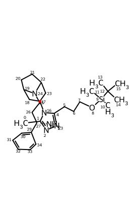 Cc1nnc(CCCO[Si](C)(C)C(C)(C)C)n1C1CC2CCC(C1)N2CC[C@H](N)c1ccccc1